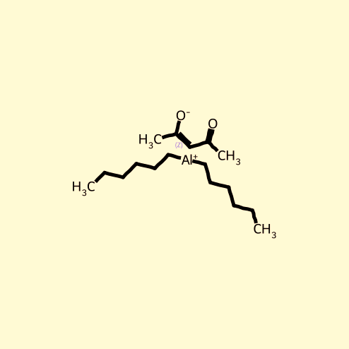 CC(=O)/C=C(/C)[O-].CCCCC[CH2][Al+][CH2]CCCCC